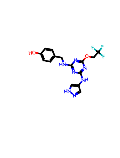 Oc1ccc(CNc2nc(Nc3cn[nH]c3)nc(OCC(F)(F)F)n2)cc1